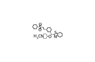 CN1CCC(OC(c2cccc(C=CS(=O)(=O)c3ccccc3)c2)c2nc3ccccc3s2)CC1